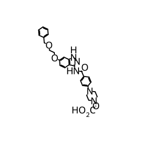 O=C(O)ON1CCN(c2ccc(C(=O)Nc3n[nH]c4cc(OCCOCc5ccccc5)ccc34)cc2)CC1